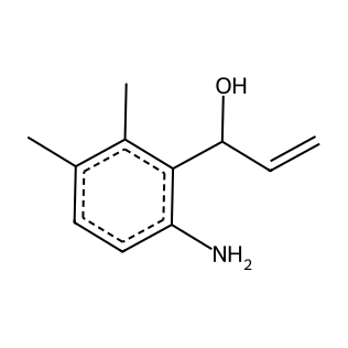 C=CC(O)c1c(N)ccc(C)c1C